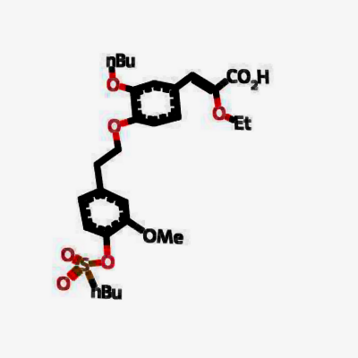 CCCCOc1cc(C=C(OCC)C(=O)O)ccc1OCCc1ccc(OS(=O)(=O)CCCC)c(OC)c1